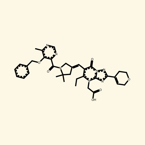 CCc1c(/C=C2/CN(C(=O)c3ncnc(C)c3OCc3ccccc3)C(C)(C)C2)c(=O)n2nc(C3=CCOCC3)nc2n1CC(=O)O